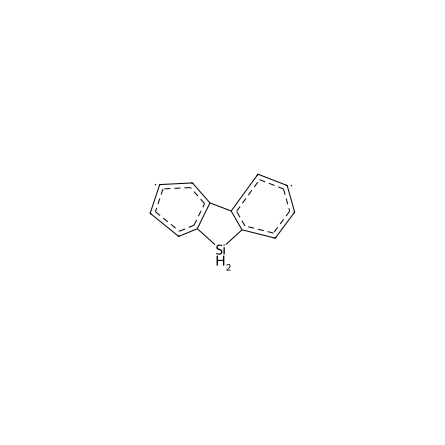 [c]1ccc2c(c1)-c1c[c]ccc1[SiH2]2